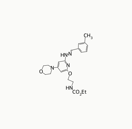 CCOC(=O)NCCOc1cc(N2CCOCC2)cc(N/N=C/c2cccc(C)c2)n1